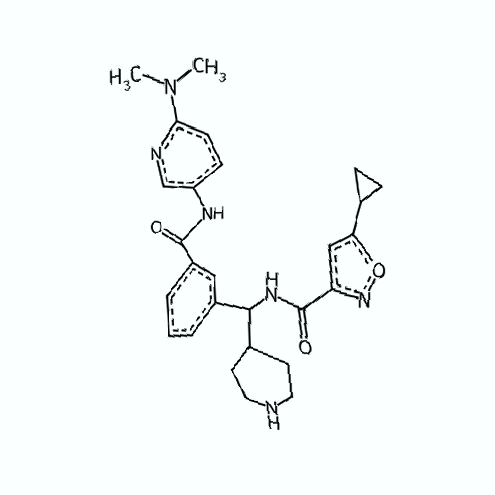 CN(C)c1ccc(NC(=O)c2cccc(C(NC(=O)c3cc(C4CC4)on3)C3CCNCC3)c2)cn1